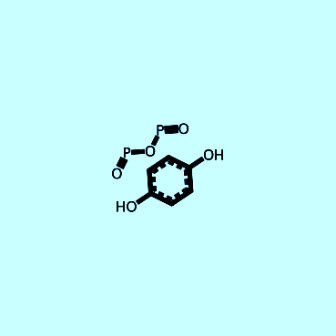 O=POP=O.Oc1ccc(O)cc1